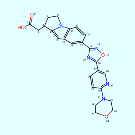 O=C(O)CC1CCn2c1cc1cc(-c3noc(-c4ccc(N5CCOCC5)nc4)n3)ccc12